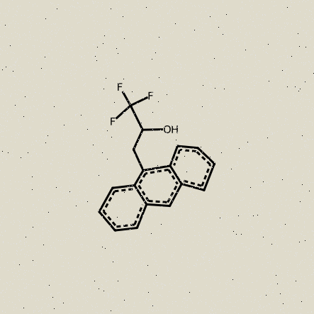 OC(Cc1c2ccccc2cc2ccccc12)C(F)(F)F